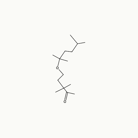 CC(=O)C(C)(C)CCOC(C)(C)CCC(C)C